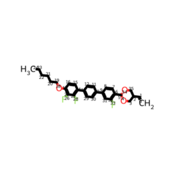 C=CC1COC(c2ccc(-c3ccc(-c4ccc(OCCCCCC)c(F)c4F)cc3)cc2F)OC1